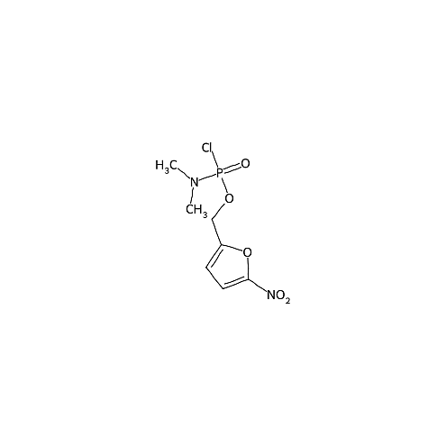 CN(C)P(=O)(Cl)OCc1ccc([N+](=O)[O-])o1